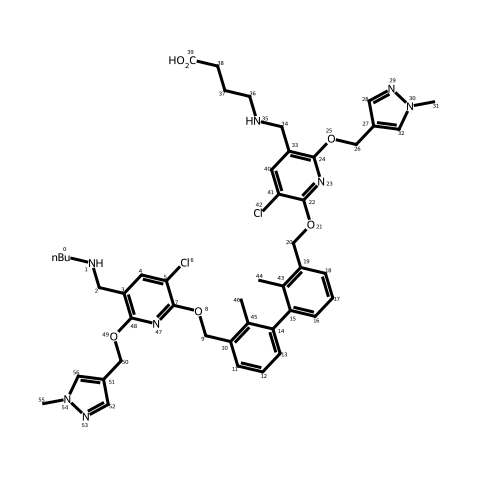 CCCCNCc1cc(Cl)c(OCc2cccc(-c3cccc(COc4nc(OCc5cnn(C)c5)c(CNCCCC(=O)O)cc4Cl)c3C)c2C)nc1OCc1cnn(C)c1